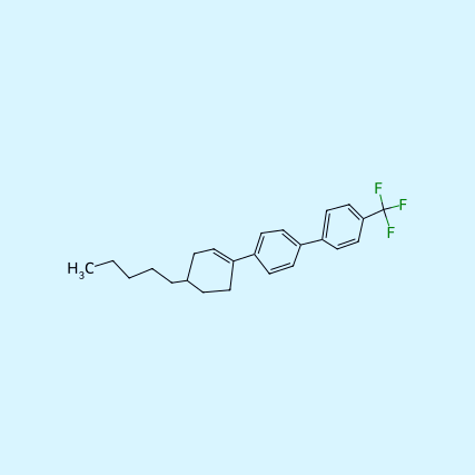 CCCCCC1CC=C(c2ccc(-c3ccc(C(F)(F)F)cc3)cc2)CC1